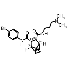 CN(C)CCCNC(=O)[C@H]1[C@H](C(=O)Nc2ccc(Br)cc2)[C@@H]2C=C[C@H]1C21CC1